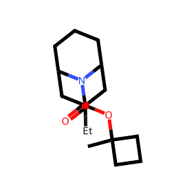 CCC1CC2CCCC(C1)N2C(=O)OC1(C)CCC1